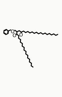 CCCCCCCCCCCCCCCCCC(=O)CC(COCc1ccccc1)C(=O)CCCCCCCCCCCCCCCCC